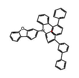 c1ccc(-c2cccc(-c3ccc(N(c4ccc5c(c4)oc4ccccc45)c4ccccc4-c4ccccc4-c4ccccc4)cc3)c2)cc1